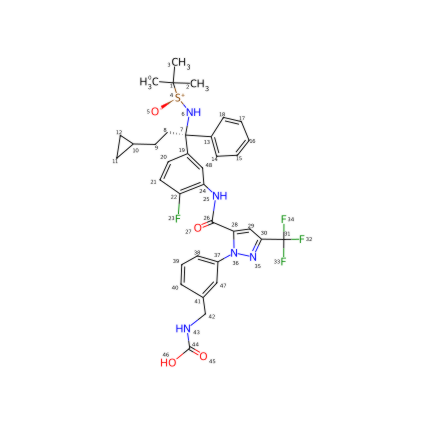 CC(C)(C)[S@+]([O-])N[C@@](CCC1CC1)(c1ccccc1)c1ccc(F)c(NC(=O)c2cc(C(F)(F)F)nn2-c2cccc(CNC(=O)O)c2)c1